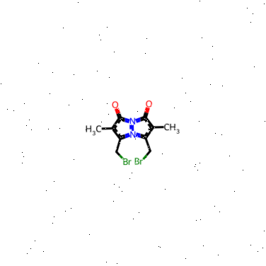 Cc1c(CBr)n2c(CBr)c(C)c(=O)n2c1=O